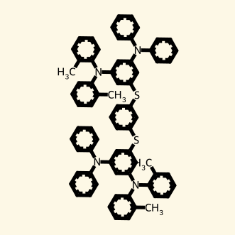 Cc1ccccc1N(c1cc(Sc2cccc(Sc3cc(N(c4ccccc4)c4ccccc4)cc(N(c4ccccc4C)c4ccccc4C)c3)c2)cc(N(c2ccccc2)c2ccccc2)c1)c1ccccc1C